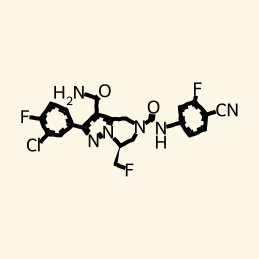 N#Cc1ccc(NC(=O)N2Cc3c(C(N)=O)c(-c4ccc(F)c(Cl)c4)nn3[C@H](CF)C2)cc1F